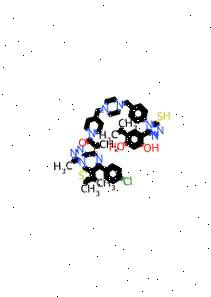 C=C(C(=O)N1CCC(CN2CCN(Cc3ccc(-n4c(S)nnc4-c4cc(C(C)C)c(O)cc4O)cc3)CC2)CC1)[C@@H]1N=C(c2ccc(Cl)cc2)c2c(sc(C)c2C)-n2c(C)nnc21